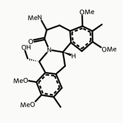 CNC1Cc2c(cc(OC)c(C)c2OC)[C@@H]2Cc3cc(C)c(OC)c(OC)c3[C@H](CO)N2C1=O